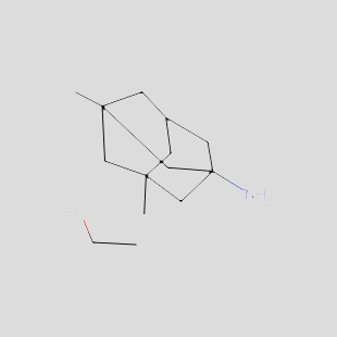 CC12CC3CC(C)(C1)CC(N)(C3)C2.CCO